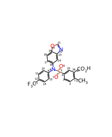 Cc1ccc(S(=O)(=O)N(c2ccc(C(F)(F)F)cc2)c2ccc3ocnc3c2)cc1C(=O)O